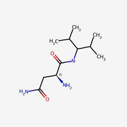 CC(C)C([N]C(=O)[C@@H](N)CC(N)=O)C(C)C